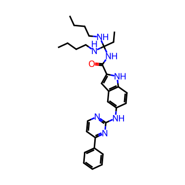 CCCCNC(CC)(NCCCC)NC(=O)c1cc2cc(Nc3nccc(-c4ccccc4)n3)ccc2[nH]1